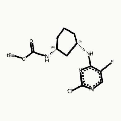 CC(C)(C)OC(=O)N[C@@H]1CCC[C@H](Nc2nc(Cl)ncc2F)C1